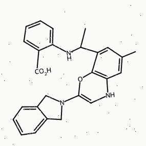 Cc1cc2c(c(C(C)Nc3ccccc3C(=O)O)c1)OC(N1Cc3ccccc3C1)=CN2